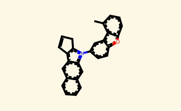 Cc1cccc2oc3ccc(-n4c5c(c6cc7ccccc7cc64)C=CC5)cc3c12